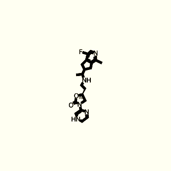 Cc1ncc(F)c2c1CC(C(C)NCC[C@H]1CN(C3=CNCC=N3)C(=O)O1)C2